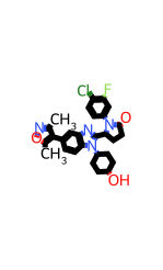 Cc1noc(C)c1-c1ccc2c(c1)nc(C1CCC(=O)N1c1ccc(Cl)c(F)c1)n2C1CCC(O)CC1